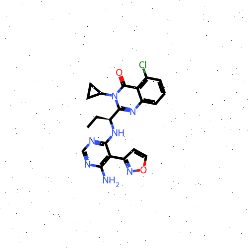 CC[C@H](Nc1ncnc(N)c1-c1ccon1)c1nc2cccc(Cl)c2c(=O)n1C1CC1